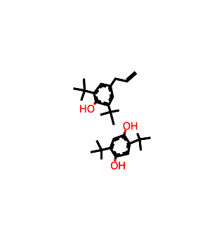 C=CCc1cc(C(C)(C)C)c(O)c(C(C)(C)C)c1.CC(C)(C)c1cc(O)c(C(C)(C)C)cc1O